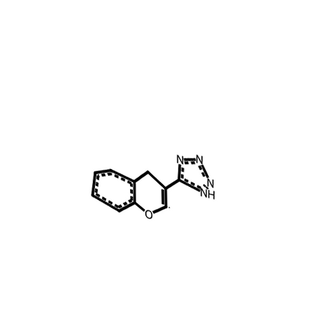 [C]1=C(c2nnn[nH]2)Cc2ccccc2O1